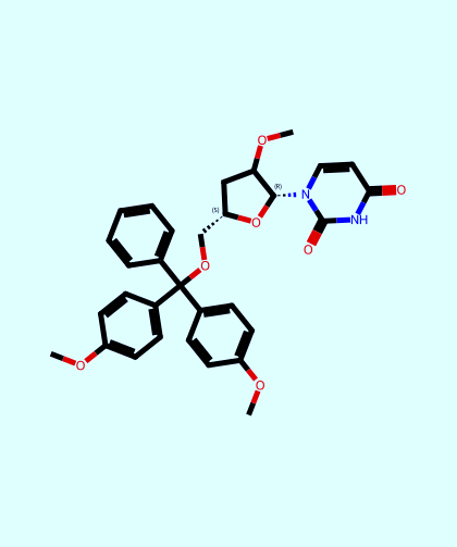 COc1ccc(C(OC[C@@H]2CC(OC)[C@H](n3ccc(=O)[nH]c3=O)O2)(c2ccccc2)c2ccc(OC)cc2)cc1